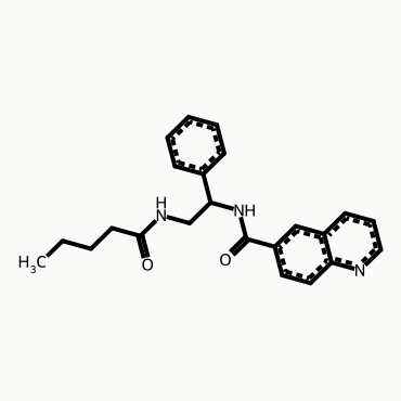 CCCCC(=O)NCC(NC(=O)c1ccc2ncccc2c1)c1ccccc1